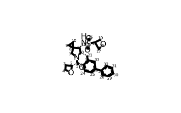 O=C([C@H]1CCO1)N1CC2(CC2)[C@H](NS(=O)(=O)C2COC2)[C@@H]1Cc1cccc(-c2ccccc2)c1